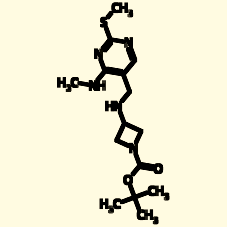 CNc1nc(SC)ncc1CNC1CN(C(=O)OC(C)(C)C)C1